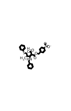 CC(=O)/C(C(=O)OCc1ccc([N+](=O)[O-])cc1)=C(/NCc1ccccc1)C(C)CSc1ccccc1